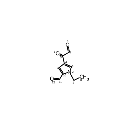 CCn1cc(C(=O)C=O)cc1C=O